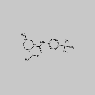 CC(C)[C@@H]1CC[C@@H](C)C[C@H]1C(=O)Nc1ccc(C(C)(C)C)cc1